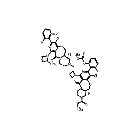 C[C@H]1CCN1c1nc(-c2c(O)cccc2F)c(Cl)c2c1C(=O)N1CCN(C[C@H]3CCN3c3nc(-c4c(F)cccc4OC(=O)OC(C)(C)C)c(Cl)c4c3C(=O)N3CCN(C(=O)OC(C)(C)C)C[C@@H]3CO4)C[C@@H]1CO2